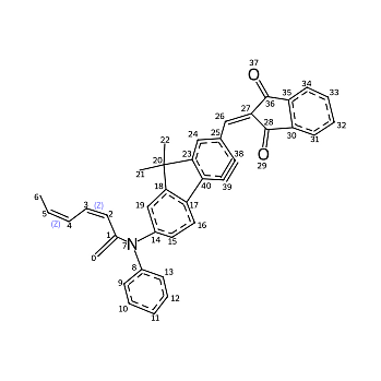 C=C(/C=C\C=C/C)N(c1ccccc1)c1ccc2c(c1)C(C)(C)c1cc(C=C3C(=O)c4ccccc4C3=O)c#cc1-2